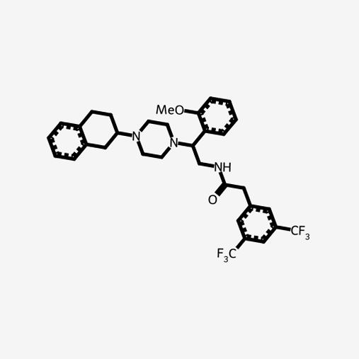 COc1ccccc1C(CNC(=O)Cc1cc(C(F)(F)F)cc(C(F)(F)F)c1)N1CCN(C2CCc3ccccc3C2)CC1